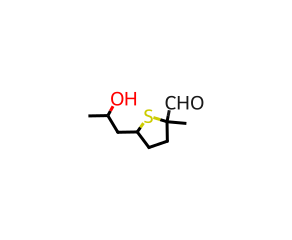 CC(O)CC1CCC(C)(C=O)S1